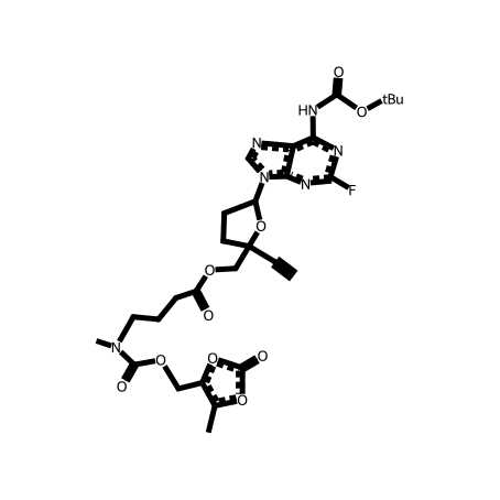 C#CC1(COC(=O)CCCN(C)C(=O)OCc2oc(=O)oc2C)CCC(n2cnc3c(NC(=O)OC(C)(C)C)nc(F)nc32)O1